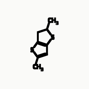 Cc1cc2c(s1)CC(C)S2